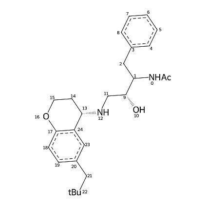 CC(=O)NC(Cc1ccccc1)[C@H](O)CN[C@H]1CCOc2ccc(CC(C)(C)C)cc21